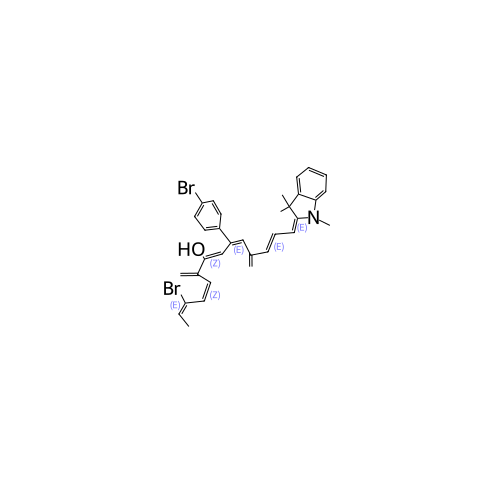 C=C(/C=C/C=C1/N(C)c2ccccc2C1(C)C)/C=C(\C=C(/O)C(=C)/C=C\C(Br)=C/C)c1ccc(Br)cc1